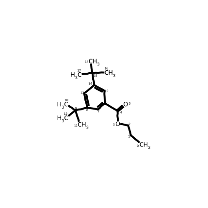 CCCOC(=O)c1cc(C(C)(C)C)cc(C(C)(C)C)c1